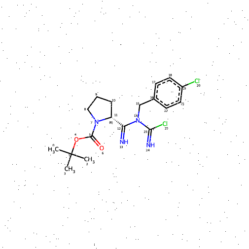 CC(C)(C)OC(=O)N1CCC[C@@H]1C(=N)N(Cc1ccc(Cl)cc1)C(=N)Cl